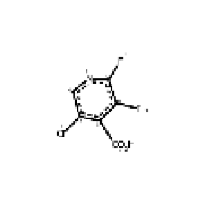 O=C(O)c1c(Cl)cnc(F)c1F